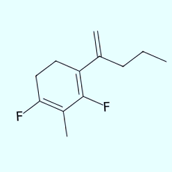 C=C(CCC)C1=C(F)C(C)=C(F)CC1